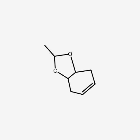 CC1OC2CC=CCC2O1